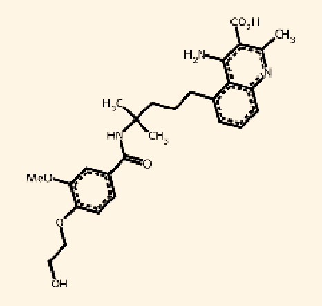 COc1cc(C(=O)NC(C)(C)CCCc2cccc3nc(C)c(C(=O)O)c(N)c23)ccc1OCCO